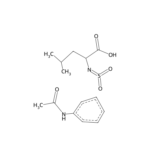 CC(=O)Nc1ccccc1.CC(C)CC(N=S(=O)=O)C(=O)O